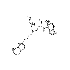 COC[C@@H](F)CN(CCCCc1ccc2c(n1)NCCC2)CCC(Nc1ncnc2c1ccn2C)C(=O)O